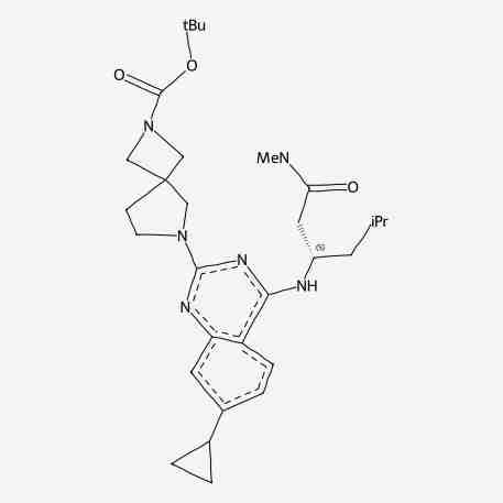 CNC(=O)C[C@H](CC(C)C)Nc1nc(N2CCC3(CN(C(=O)OC(C)(C)C)C3)C2)nc2cc(C3CC3)ccc12